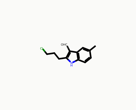 Cc1ccc2[nH]c(CCCCl)c(C=O)c2c1